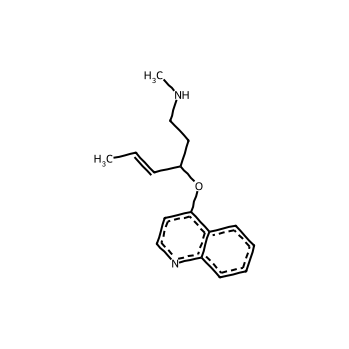 CC=CC(CCNC)Oc1ccnc2ccccc12